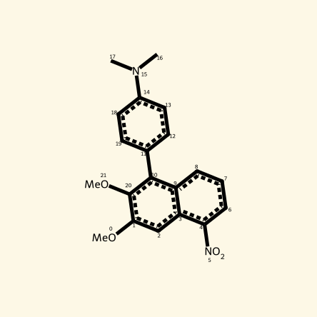 COc1cc2c([N+](=O)[O-])cccc2c(-c2ccc(N(C)C)cc2)c1OC